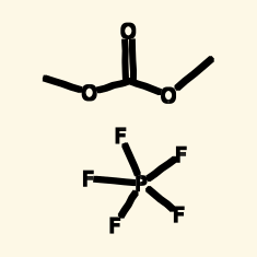 COC(=O)OC.FP(F)(F)(F)F